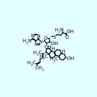 CC(C)=CCCC(C)[C@H]1CC[C@H]2C3=C(CC[C@]12C)[C@@]1(C)CC[C@H](O)C[C@@H]1CC3.Nc1ncnc2c1ncn2[C@@H]1O[C@H](CSCCC(N)C(=O)O)[C@@H](O)[C@H]1O